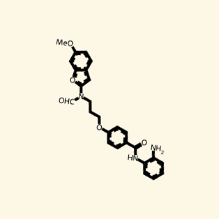 COc1ccc2cc(N(C=O)CCCOc3ccc(C(=O)Nc4ccccc4N)cc3)oc2c1